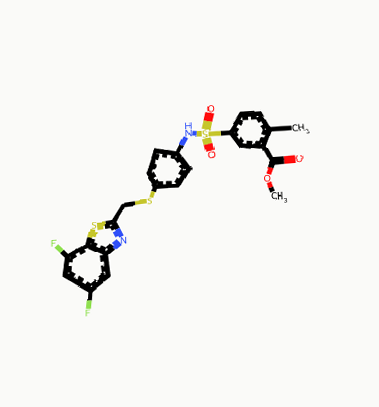 COC(=O)c1cc(S(=O)(=O)Nc2ccc(SCc3nc4cc(F)cc(F)c4s3)cc2)ccc1C